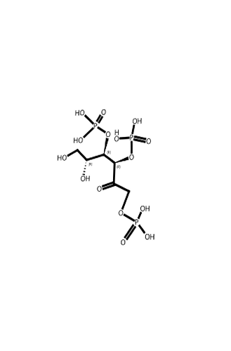 O=C(COP(=O)(O)O)[C@H](OP(=O)(O)O)[C@H](OP(=O)(O)O)[C@H](O)CO